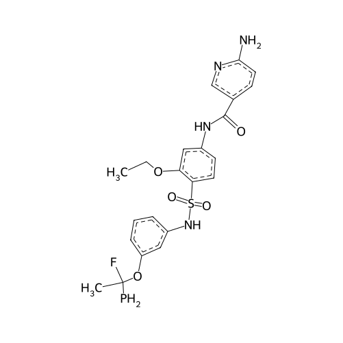 CCOc1cc(NC(=O)c2ccc(N)nc2)ccc1S(=O)(=O)Nc1cccc(OC(C)(F)P)c1